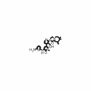 C=C1/C=C2/C(=O)N(c3nccc(-c4cc(Nc5cccc(N)n5)c(=O)n(C)c4)c3CO)CCN2CCC(C)(C)C1